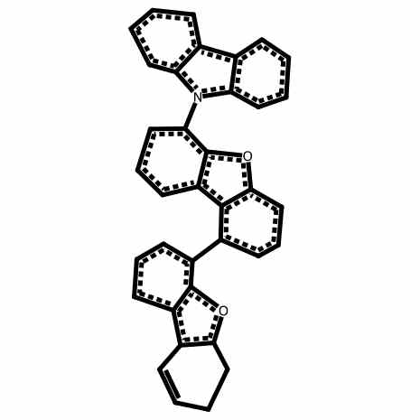 C1=Cc2c(oc3c(-c4cccc5oc6c(-n7c8ccccc8c8ccccc87)cccc6c45)cccc23)CC1